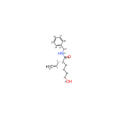 C=CC[C@@H](CCCCO)C(=O)NCc1ccccc1